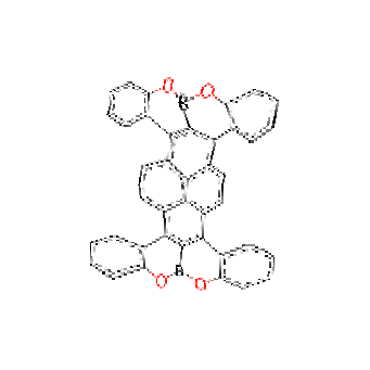 c1ccc2c(c1)OB1Oc3ccccc3-c3c1c-2c1ccc2c4c5c(c6ccc3c1c26)-c1ccccc1OB5Oc1ccccc1-4